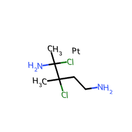 CC(N)(Cl)C(C)(Cl)CCN.[Pt]